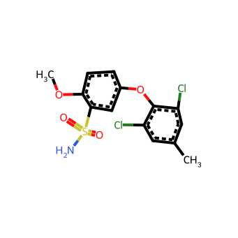 COc1ccc(Oc2c(Cl)cc(C)cc2Cl)cc1S(N)(=O)=O